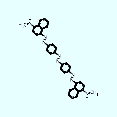 CNc1ccc(/N=N/c2ccc(/N=N/c3ccc(/N=N/c4ccc(NC)c5ccccc45)cc3)cc2)c2ccccc12